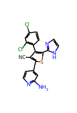 N#Cc1c(-c2ccnc(N)c2)sc(-c2ncc[nH]2)c1-c1ccc(Cl)cc1Cl